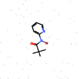 CC(C)(C)C(=O)N(Br)c1ccccn1